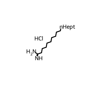 CCCCCCCCCCCCCCCCC(=N)N.Cl